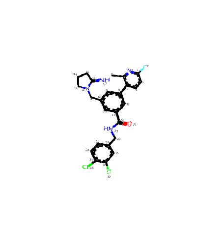 Cc1nc(F)ccc1-c1cc(CN2CCCC2=N)cc(C(=O)NCc2ccc(Cl)c(Cl)c2)c1